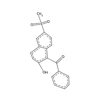 CS(=O)(=O)c1ccc2c(C(=O)c3ccccc3)c(O)ccc2c1